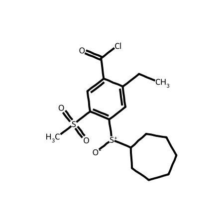 CCc1cc([S+]([O-])C2CCCCCC2)c(S(C)(=O)=O)cc1C(=O)Cl